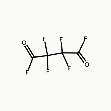 O=C(F)C(F)(F)C(F)(F)C(=O)F